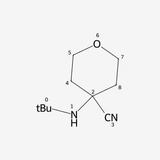 CC(C)(C)NC1(C#N)CCOCC1